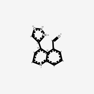 O=Cc1cccc2nccc(-c3conn3)c12